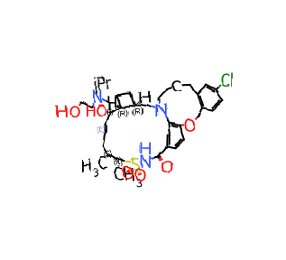 CC(C)N(CCO)C[C@]1(O)/C=C/C[C@H](C)[C@@H](C)S(=O)(=O)NC(=O)c2ccc3c(c2)N(CCCCc2cc(Cl)ccc2CO3)C[C@@H]2CC[C@H]21